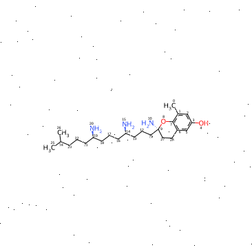 Cc1cc(O)cc2c1O[C@](N)(CCC[C@H](N)CCC[C@H](N)CCCC(C)C)CC2